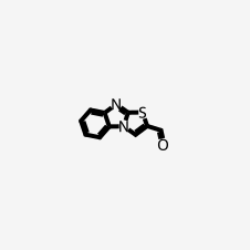 O=Cc1cn2c(nc3ccccc32)s1